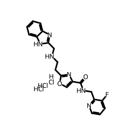 Cl.Cl.Cl.O=C(NCc1ncccc1F)c1coc(CCNCc2nc3ccccc3[nH]2)n1